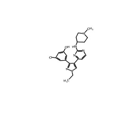 CCn1cc(-c2ccnc(NC3CCN(C)CC3)n2)c(-c2cc(O)cc(Cl)c2)n1